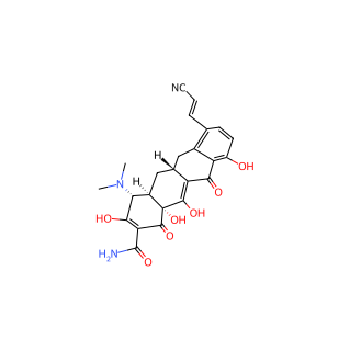 CN(C)[C@H]1C(O)=C(C(N)=O)C(=O)[C@]2(O)C(O)=C3C(=O)c4c(O)ccc(/C=C/C#N)c4C[C@H]3C[C@H]12